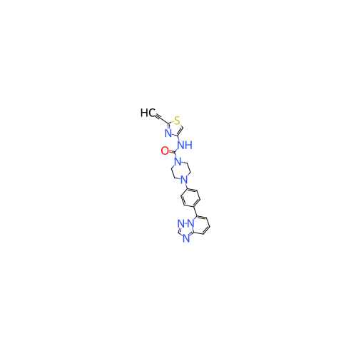 C#Cc1nc(NC(=O)N2CCN(c3ccc(-c4cccc5ncnn45)cc3)CC2)cs1